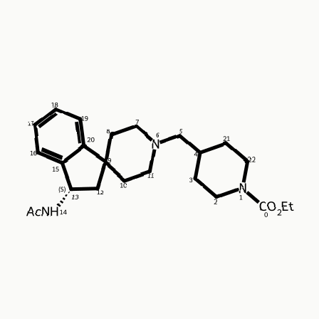 CCOC(=O)N1CCC(CN2CCC3(CC2)C[C@H](NC(C)=O)c2ccccc23)CC1